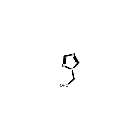 O=CCn1[c]ncn1